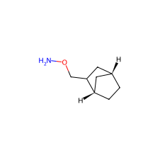 NOCC1C[C@@H]2CC[C@H]1C2